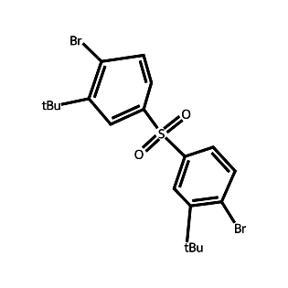 CC(C)(C)c1cc(S(=O)(=O)c2ccc(Br)c(C(C)(C)C)c2)ccc1Br